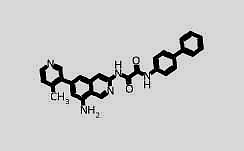 Cc1ccncc1-c1cc(N)c2cnc(NC(=O)C(=O)Nc3ccc(-c4ccccc4)cc3)cc2c1